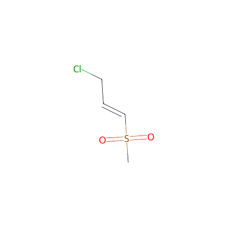 CS(=O)(=O)C=CCCl